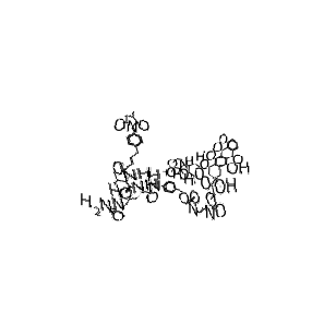 COc1cccc2c1C(=O)c1c(O)c3c(c(O)c1C2=O)C[C@@](O)(C(=O)COC(=O)N(C)CCN(C)C(=O)OCc1ccc(NC(=O)[C@H](CCCNC(N)=O)NC(=O)[C@@H](NC(=O)CCCc2ccc(N4C(=O)CC(C)C4=O)cc2)C(C)C)cc1)C[C@@H]3O[C@H]1C[C@H]2[C@H](O[C@@H]3[C@@H](OC)OCCN32)[C@H](C)O1